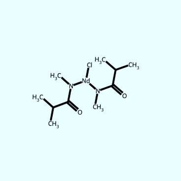 CC(C)C(=O)[N](C)[Nd]([Cl])[N](C)C(=O)C(C)C